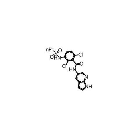 CCCS(=O)(=O)Nc1ccc(Cl)c(C(=O)Nc2cnc3[nH]ccc3c2)c1Cl